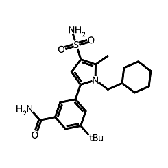 Cc1c(S(N)(=O)=O)cc(-c2cc(C(N)=O)cc(C(C)(C)C)c2)n1CC1CCCCC1